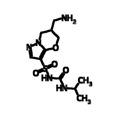 CC(C)NC(=O)NS(=O)(=O)c1cnn2c1OCC(CN)C2